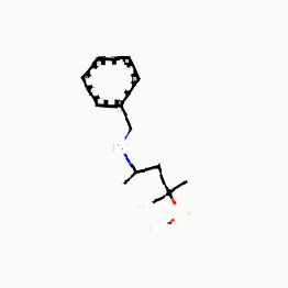 CC(CC(C)(C)O[SiH3])NCc1ccccc1